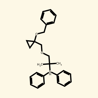 CC(C)(COCC1(OCc2ccccc2)CC1)[SiH](c1ccccc1)c1ccccc1